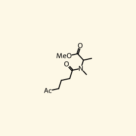 COC(=O)C(C)N(C)C(=O)CCCC(C)=O